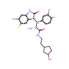 N[C@@H](C(=O)NCCC1CCC(O)C1)[C@H](c1ccc(F)c(Cl)c1)[C@@H]1C(=O)Nc2cc(Cl)c(F)cc21